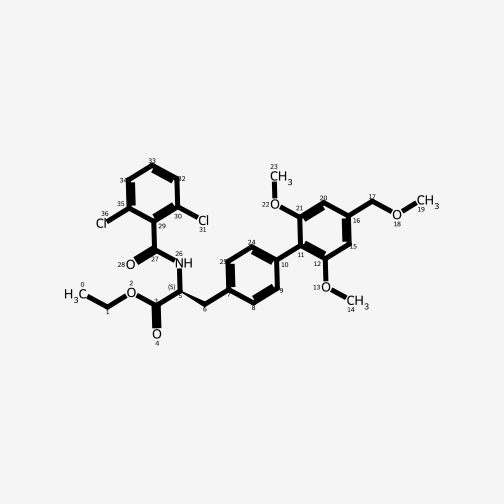 CCOC(=O)[C@H](Cc1ccc(-c2c(OC)cc(COC)cc2OC)cc1)NC(=O)c1c(Cl)cccc1Cl